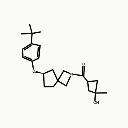 CC1(O)CC(C(=O)N2CC3(CC[C@@H](Oc4ccc(C(C)(C)C)cc4)C3)C2)C1